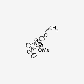 CC#CCOc1ccc(S(=O)(=O)N2Cc3ccccc3N(C(=O)c3ccco3)CC2C(=O)OC)cc1